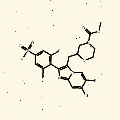 COC(=O)N1CCOC(Cc2c(-c3c(F)cc(S(=O)(=O)Cl)cc3F)nc3cc(Cl)c(F)cn23)C1